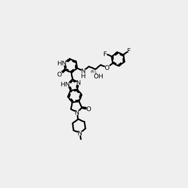 CN1CCC(N2Cc3cc4[nH]c(-c5c(NC[C@@H](O)COc6ccc(F)cc6F)cc[nH]c5=O)nc4cc3C2=O)CC1